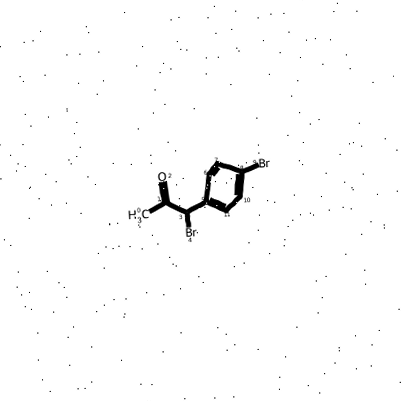 CC(=O)C(Br)c1ccc(Br)cc1